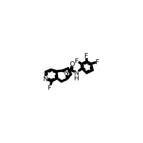 O=C(Nc1ccc(F)c(F)c1F)N1C2CCC1c1ccnc(F)c1C2